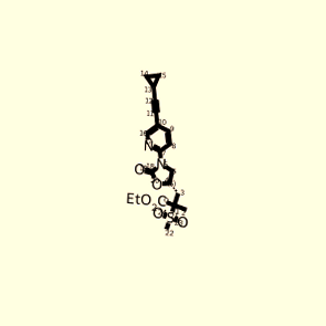 CCOC(=O)C(C)(C[C@H]1CN(c2ccc(C#CC3CC3)cn2)C(=O)O1)S(C)(=O)=O